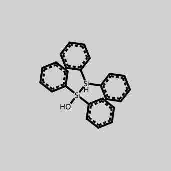 O[Si](c1ccccc1)(c1ccccc1)[SiH](c1ccccc1)c1ccccc1